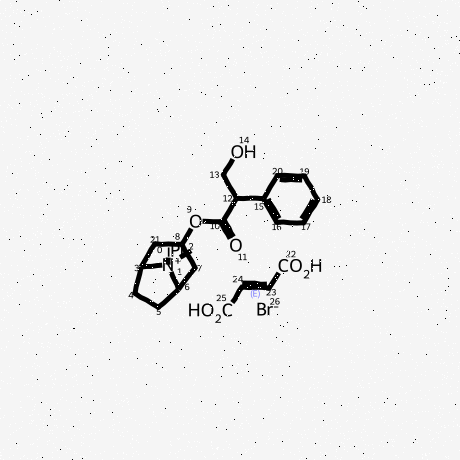 CC(C)[N+]1(C)C2CCC1CC(OC(=O)C(CO)c1ccccc1)C2.O=C(O)/C=C/C(=O)O.[Br-]